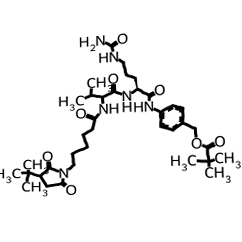 CC(C)C(NC(=O)CCCCCN1C(=O)CC(C(C)(C)C)C1=O)C(=O)N[C@@H](CCCNC(N)=O)C(=O)Nc1ccc(COC(=O)C(C)(C)C)cc1